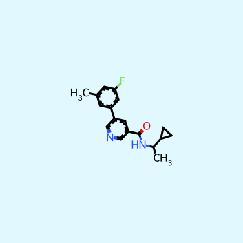 Cc1cc(F)cc(-c2cncc(C(=O)NC(C)C3CC3)c2)c1